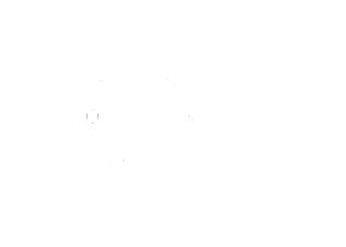 CC(=O)CCSC(SCCC(C)=O)c1ccccc1